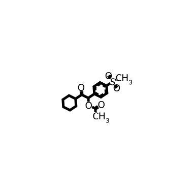 CC(=O)OC(C(=O)C1CCCCC1)c1ccc(S(C)(=O)=O)cc1